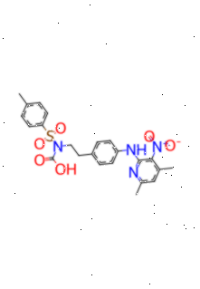 Cc1ccc(S(=O)(=O)N(CCc2ccc(Nc3nc(C)cc(C)c3[N+](=O)[O-])cc2)C(=O)O)cc1